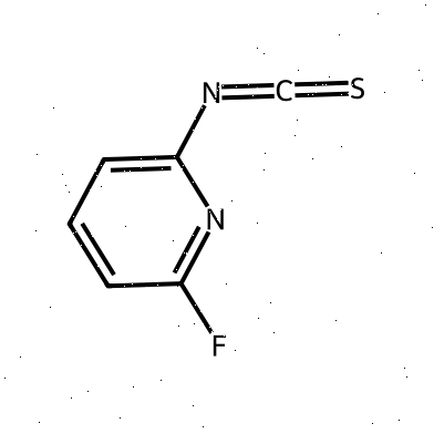 Fc1cccc(N=C=S)n1